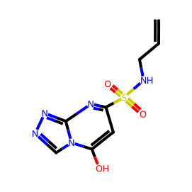 C=CCNS(=O)(=O)c1cc(O)n2cnnc2n1